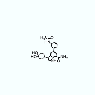 CC(=O)Nc1cccc(-c2cc(C(N)=O)c3[nH]cc(C4CCS(O)(O)CC4)c3c2)c1